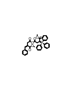 COC(=O)C(CC(=O)OC(=O)C/C(=C/c1ccccc1)C(=O)OC)=P(c1ccccc1)(c1ccccc1)c1ccccc1